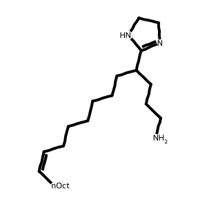 CCCCCCCC/C=C\CCCCCCC(CCCN)C1=NCCN1